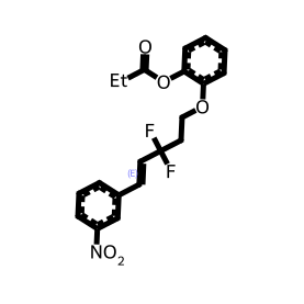 CCC(=O)Oc1ccccc1OCCC(F)(F)/C=C/c1cccc([N+](=O)[O-])c1